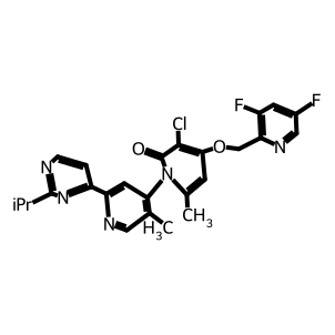 Cc1cnc(-c2ccnc(C(C)C)n2)cc1-n1c(C)cc(OCc2ncc(F)cc2F)c(Cl)c1=O